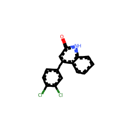 O=c1cc(-c2ccc(Cl)c(Cl)c2)c2ccccc2[nH]1